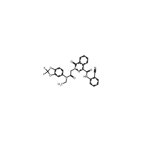 CCN(C(=O)Cn1nc(C(=O)Nc2ccccc2C#N)c2ccccc2c1=O)c1ccc2c(c1)OC(F)(F)O2